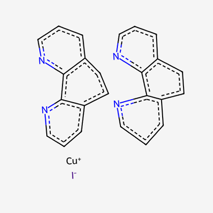 [Cu+].[I-].c1cnc2c(c1)ccc1cccnc12.c1cnc2c(c1)ccc1cccnc12